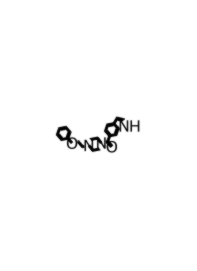 O=C(c1ccc2cc[nH]c2c1)N1CCN(CCOc2ccccc2)CC1